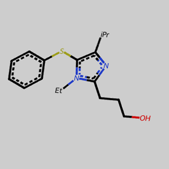 CCn1c(CCCO)nc(C(C)C)c1Sc1ccccc1